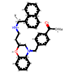 COC(=O)c1ccc(CN2CC(CCN[C@H](C)c3cccc4ccccc34)Oc3ccccc32)cc1